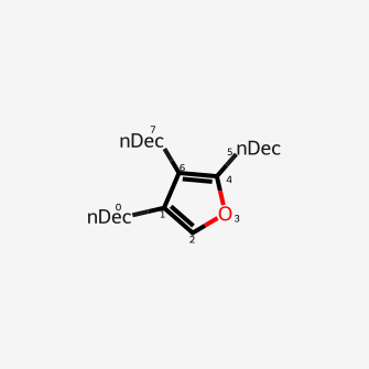 CCCCCCCCCCc1coc(CCCCCCCCCC)c1CCCCCCCCCC